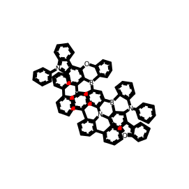 c1ccc(-c2ccccc2N2c3cc4c(cc3B3c5ccccc5Oc5c3c2cc2c5c3ccccc3n2-c2ccccc2)B2c3ccccc3N(c3ccccc3)c3c2c(cc2oc5ccccc5c32)N4c2c(-c3ccccc3)cccc2-c2ccccc2)cc1